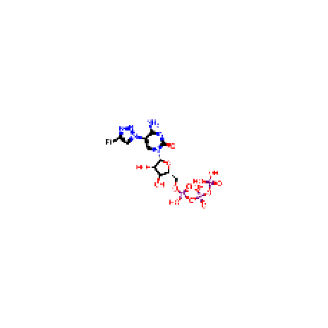 CCc1cn(-c2cn([C@@H]3O[C@H](COP(=O)(O)OP(=O)(O)OP(=O)(O)O)C(O)[C@@H]3O)c(=O)nc2N)nn1